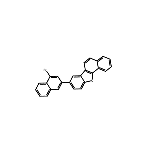 Brc1cc(-c2ccc3oc4c5ccccc5ccc4c3c2)cc2ccccc12